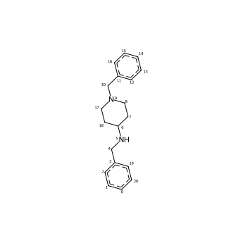 c1ccc(CNC2CCN(Cc3ccccc3)CC2)cc1